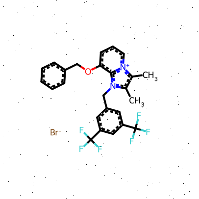 Cc1c(C)[n+]2cccc(OCc3ccccc3)c2n1Cc1cc(C(F)(F)F)cc(C(F)(F)F)c1.[Br-]